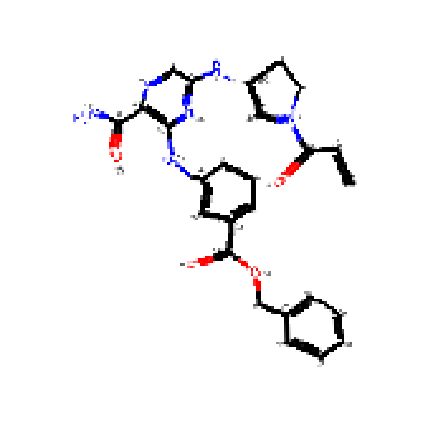 C=CC(=O)N1CC[C@@H](Nc2cnc(C(N)=O)c(Nc3cccc(C(=O)OCc4ccccc4)c3)n2)C1